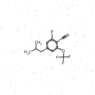 CC(C)Cc1cc(F)c(C#N)c(OC(F)(F)F)c1